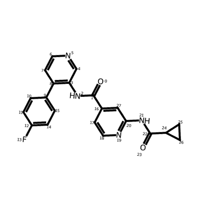 O=C(Nc1cnccc1-c1ccc(F)cc1)c1ccnc(NC(=O)C2CC2)c1